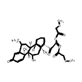 CSCC(=O)OC(OC(=O)CSC)C(=O)[C@H]1CC[C@H]2[C@@H]3CC(C)C4=CC(=O)C=C[C@]4(C)[C@H]3C(O)C[C@]12C